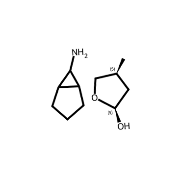 C[C@@H]1CO[C@H](O)C1.NC1C2CCCC12